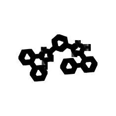 c1ccc(-c2ccccc2-c2nc(-c3cccc(-c4n[nH]c(-c5ccccc5-c5ccccc5)n4)c3)n[nH]2)cc1